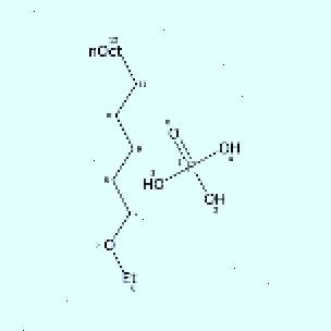 O=P(O)(O)O.[CH2]COCCCCCCCCCCCCC